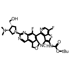 CN(C)[C@@H]1CN(c2ncc3c4c(c(-c5ncc(F)c6sc(NC(=O)OC(C)(C)C)c(C#N)c56)c(F)c3n2)COC4)C[C@H]1CO